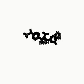 Cc1cc(-c2[nH]nc(-c3ccc(C(C)N(C)C)cc3)c2C(C)C)cn2ncnc12